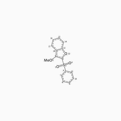 COc1c(S(=O)(=O)c2ccccc2)oc2ccccc12